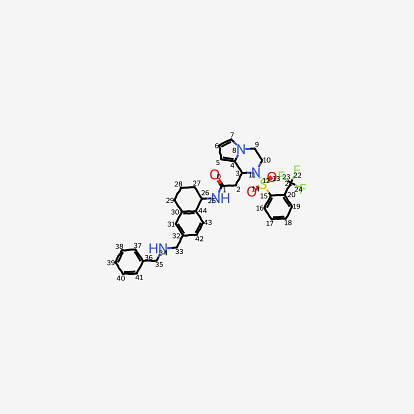 O=C(CC1c2cccn2CCN1S(=O)(=O)c1ccccc1C(F)(F)F)NC1CCCc2cc(CNCc3ccccc3)ccc21